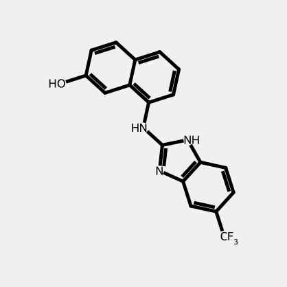 Oc1ccc2cccc(Nc3nc4cc(C(F)(F)F)ccc4[nH]3)c2c1